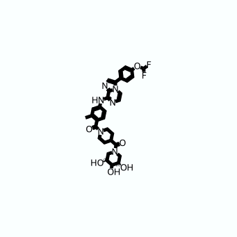 Cc1cc(Nc2nccn3c(-c4ccc(OC(F)F)cc4)cnc23)ccc1C(=O)N1CCC(C(=O)N2C[C@@H](O)C(O)[C@@H](O)C2)CC1